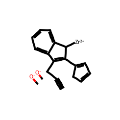 C#CCC1=C(C2=CC=CC2)[CH]([Zr+2])c2ccccc21.C[O-].C[O-]